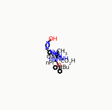 CCCC(CCO[Si](c1ccccc1)(c1ccccc1)C(C)(C)C)Nc1nc(NC(=O)O)nc2c(C)nn(Cc3ncc(CN4CCN(CCO)CC4)cc3OC)c12